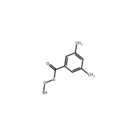 Cc1cc(C)cc(C(=O)SOS)c1